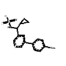 CCS(=O)(=O)NC(c1cncc(-c2ccc(SC)cc2)c1)C1CC1